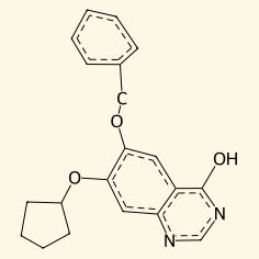 Oc1ncnc2cc(OC3CCCC3)c(OCc3ccccc3)cc12